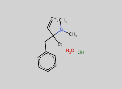 C=CC(CC)(Cc1ccccc1)N(C)C.Cl.O